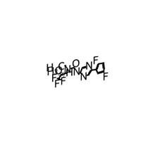 CCN(C[C@@H](O)C(F)(F)F)C(=O)Nc1cnc(-c2cc(F)ccc2F)cn1